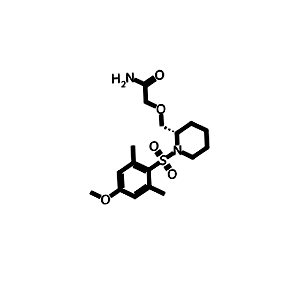 COc1cc(C)c(S(=O)(=O)N2CCCC[C@H]2COCC(N)=O)c(C)c1